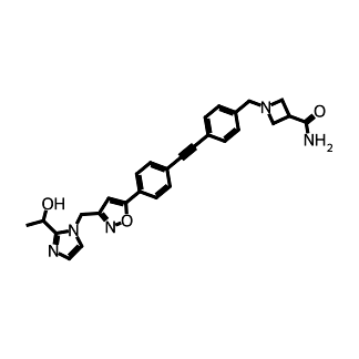 CC(O)c1nccn1Cc1cc(-c2ccc(C#Cc3ccc(CN4CC(C(N)=O)C4)cc3)cc2)on1